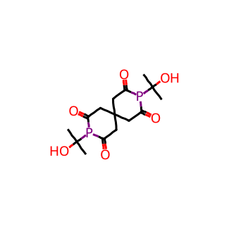 CC(C)(O)P1C(=O)CC2(CC1=O)CC(=O)P(C(C)(C)O)C(=O)C2